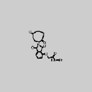 CC(C)NC(=O)COc1cccc2c1C(=O)N(C1CCC(=O)CCCCC1=O)C2=O